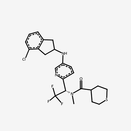 CN(C(=O)C1CCSCC1)[C@@H](c1ccc(NC2Cc3cccc(Cl)c3C2)cn1)C(F)(F)F